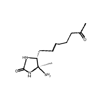 CC(=O)CCCCC[C@H]1NC(=O)N[C@]1(C)N